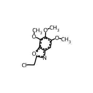 COc1cc2nc(CCl)oc2c(OC)c1OC